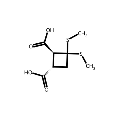 CSC1(SC)C[C@H](C(=O)O)[C@H]1C(=O)O